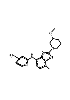 CO[C@@H]1CCCN(c2nc3c(F)cnc(Nc4cc(N)ncn4)c3s2)C1